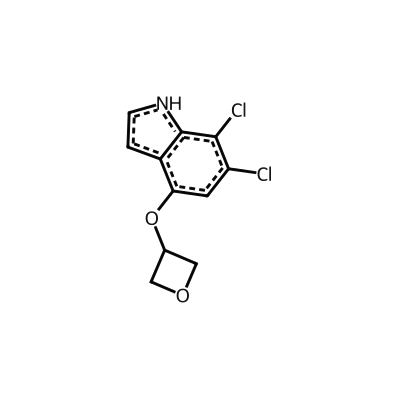 Clc1cc(OC2COC2)c2cc[nH]c2c1Cl